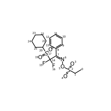 CCS(=O)(=O)ON=C(c1ccccc1)C(F)(F)S(=O)(=O)C1CCCCC1